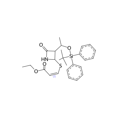 CCOC(=O)/C=C\SC1NC(=O)C1C(C)O[Si](c1ccccc1)(c1ccccc1)C(C)(C)C